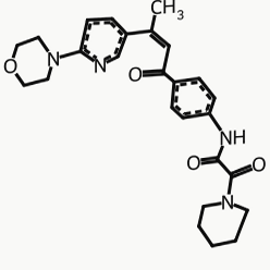 C/C(=C/C(=O)c1ccc(NC(=O)C(=O)N2CCCCC2)cc1)c1ccc(N2CCOCC2)nc1